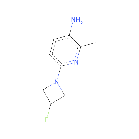 Cc1nc(N2CC(F)C2)ccc1N